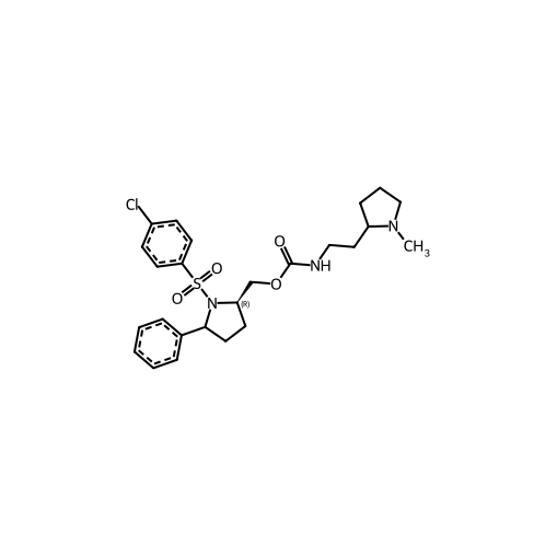 CN1CCCC1CCNC(=O)OC[C@H]1CCC(c2ccccc2)N1S(=O)(=O)c1ccc(Cl)cc1